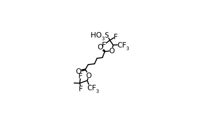 CC(F)(F)C(OC(=O)CCCCC(=O)OC(C(F)(F)F)C(F)(F)S(=O)(=O)O)C(F)(F)F